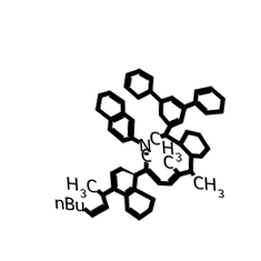 CCCC/C=C\C(C)C1=CC[C@@H](/C2=C/C=C(\C)C(C)C3CCCCC3C(C3=CC(C4=CCCC=C4)=CC(C4C=CC=CC4)C3)CN(c3ccc4c(c3)C=CCC4)C2)C2=C1C=CCC2